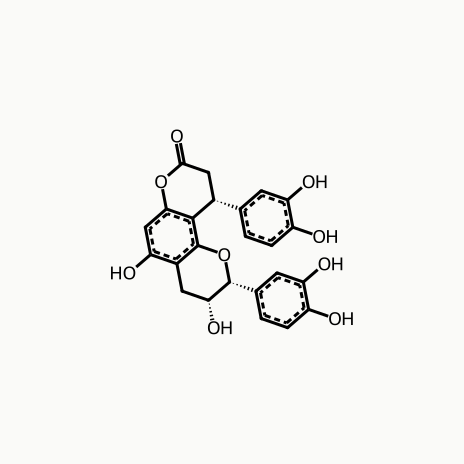 O=C1C[C@H](c2ccc(O)c(O)c2)c2c(cc(O)c3c2O[C@H](c2ccc(O)c(O)c2)[C@H](O)C3)O1